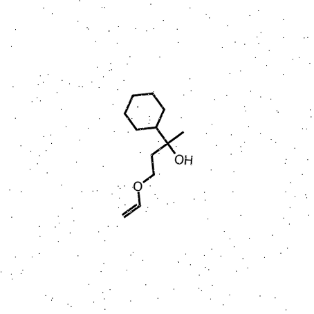 C=COCCC(C)(O)C1CCCCC1